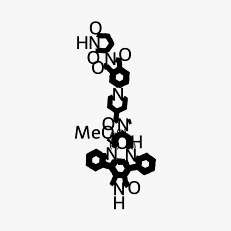 CO[C@@H]1[C@H](N(C)C(=O)C2CCN(c3ccc4c(c3)C(=O)N(C3CCC(=O)NC3=O)C4=O)CC2)C[C@H]2O[C@]1(C)n1c3ccccc3c3c4c(c5c6ccccc6n2c5c31)C(=O)NC4